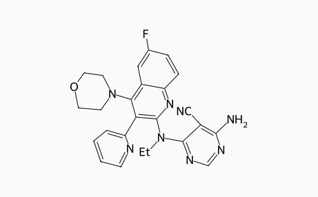 CCN(c1ncnc(N)c1C#N)c1nc2ccc(F)cc2c(N2CCOCC2)c1-c1ccccn1